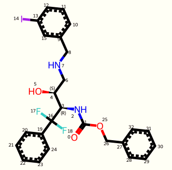 O=C(N[C@H]([C@@H](O)CNCc1cccc(I)c1)C(F)(F)c1ccccc1)OCc1ccccc1